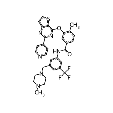 Cc1ccc(C(=O)Nc2cc(CN3CCN(C)CC3)cc(C(F)(F)F)c2)cc1Oc1nc(-c2ccncc2)nc2ccsc12